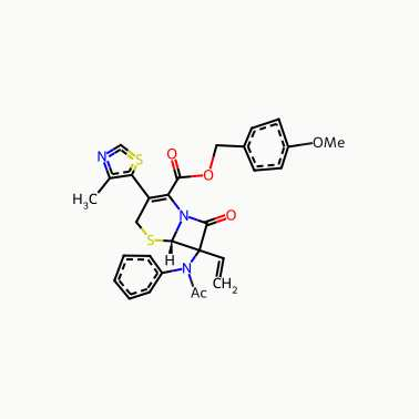 C=CC1(N(C(C)=O)c2ccccc2)C(=O)N2C(C(=O)OCc3ccc(OC)cc3)=C(c3scnc3C)CS[C@H]21